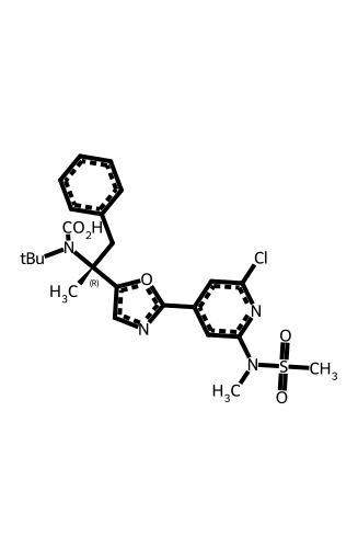 CN(c1cc(-c2ncc([C@@](C)(Cc3ccccc3)N(C(=O)O)C(C)(C)C)o2)cc(Cl)n1)S(C)(=O)=O